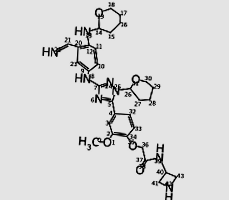 COc1cc(-c2nc(Nc3ccc(NC4CCCCO4)c(C=N)c3)nn2C2CCCCO2)ccc1OCC(=O)NC1CNC1